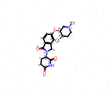 CCN1CC[C@@H](C)[C@@H](Oc2ccc3c(c2)CN([C@@H]2CCC(=O)NC2=O)C3=O)C1